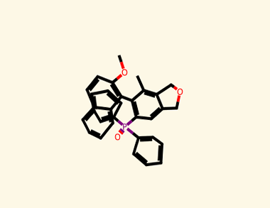 COc1ccc2ccccc2c1-c1c(P(=O)(c2ccccc2)c2ccccc2)cc2c(c1C)COC2